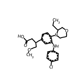 CCC1COCCN1c1ccc(C(COC)CC(=O)O)cc1Nc1ccc(Cl)cc1